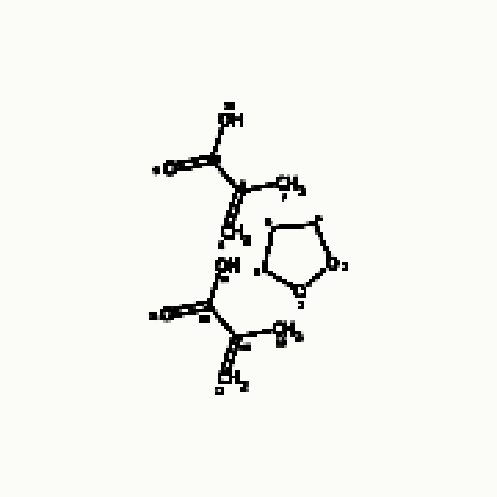 C1COOC1.C=C(C)C(=O)O.C=C(C)C(=O)O